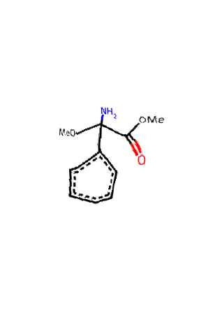 COC(=O)C(N)(OC)c1ccccc1